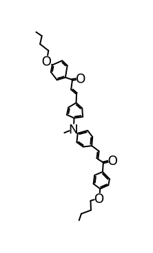 CCCCOc1ccc(C(=O)C=Cc2ccc(N(C)c3ccc(C=CC(=O)c4ccc(OCCCC)cc4)cc3)cc2)cc1